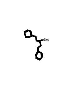 CCCCCCCCCCC(CCc1ccccc1)CCc1ccccc1